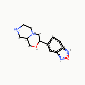 c1cc2nonc2cc1C1CN2CCNCC2CO1